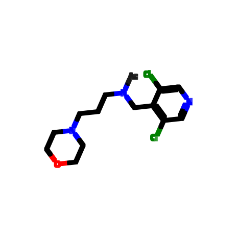 CC(=O)N(CCCN1CCOCC1)Cc1c(Cl)cncc1Cl